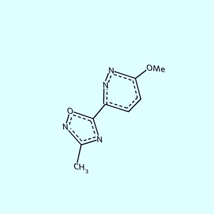 COc1ccc(-c2nc(C)no2)nn1